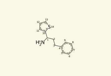 NC(CCc1ccccc1)c1cccs1